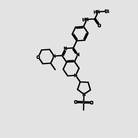 CCNC(=O)Nc1ccc(-c2nc3c(c(N4CCOCC4C)n2)CCN(C2CCN(S(C)(=O)=O)C2)C3)cc1